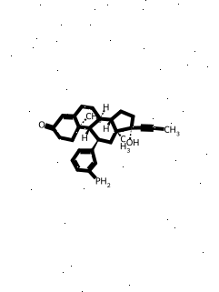 CC#C[C@]1(O)CC[C@H]2[C@@H]3CCC4=CC(=O)CC[C@]4(C)[C@H]3[C@H](c3cccc(P)c3)C[C@@]21C